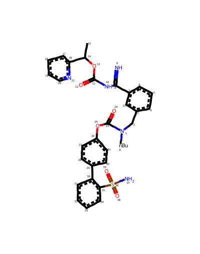 CCCCN(Cc1cccc(C(=N)NC(=O)OC(C)c2ccccn2)c1)C(=O)Oc1ccc(-c2ccccc2S(N)(=O)=O)cc1